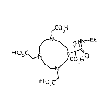 CCNC(=O)C(C)(C(=O)O)N1CCN(CC(=O)O)CCN(CC(=O)O)CCN(CC(=O)O)CC1